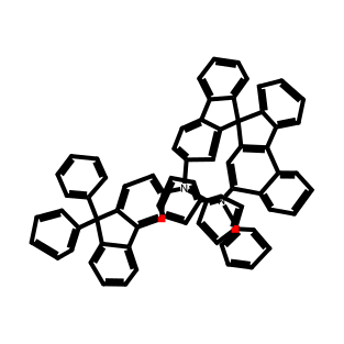 c1ccc(N(c2ccc3c(c2)-c2ccccc2C3(c2ccccc2)c2ccccc2)c2ccc3c(c2)C2(c4ccccc4-3)c3ccccc3-c3c2cc(N(c2ccccc2)c2ccccc2)c2ccccc32)cc1